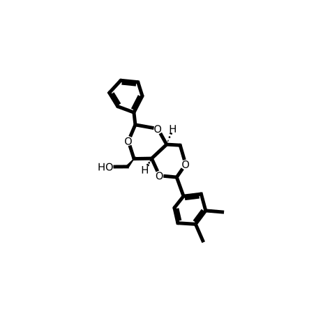 Cc1ccc(C2OC[C@@H]3OC(c4ccccc4)O[C@H](CO)[C@@H]3O2)cc1C